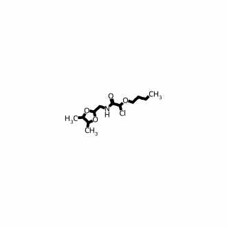 CCCCOC(Cl)C(=O)NCC1OC(C)C(C)O1